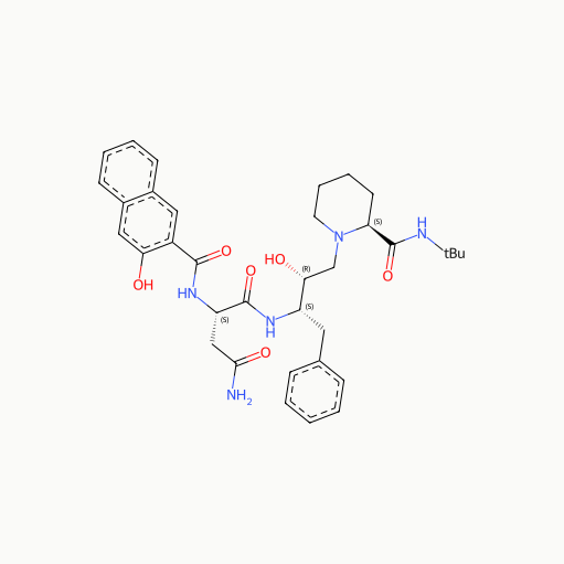 CC(C)(C)NC(=O)[C@@H]1CCCCN1C[C@@H](O)[C@H](Cc1ccccc1)NC(=O)[C@H](CC(N)=O)NC(=O)c1cc2ccccc2cc1O